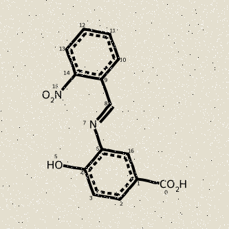 O=C(O)c1ccc(O)c(/N=C/c2ccccc2[N+](=O)[O-])c1